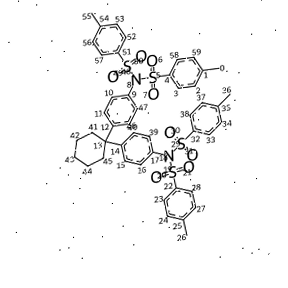 Cc1ccc(S(=O)(=O)N(c2ccc(C3(c4ccc(N(S(=O)(=O)c5ccc(C)cc5)S(=O)(=O)c5ccc(C)cc5)cc4)CCCCC3)cc2)S(=O)(=O)c2ccc(C)cc2)cc1